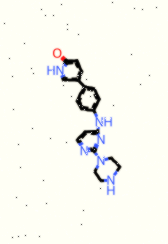 O=c1ccc(-c2ccc(Nc3ccnc(N4CCNCC4)n3)cc2)c[nH]1